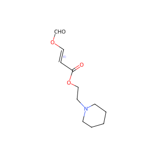 O=CO/C=C/C(=O)OCCN1CCCCC1